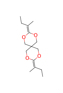 CCC(C)=C1OCC2(CO1)COC(=C(C)CC)OC2